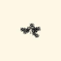 CN1C(c2cc(-c3ccc4c(c3)sc3c5cccc6c5c(cc43)-c3ccccc3-6)c3ccccc3c2)=NC(c2ccccc2)=NC1c1cccc(-c2ccccc2)c1